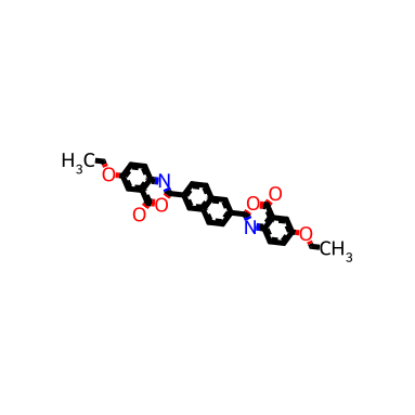 CCOc1ccc2nc(-c3ccc4cc(-c5nc6ccc(OCC)cc6c(=O)o5)ccc4c3)oc(=O)c2c1